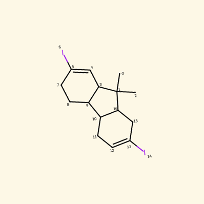 CC1(C)C2C=C(I)CCC2C2CC=C(I)CC21